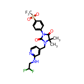 CC1(C)C(=O)N(c2ccc(S(=O)(=O)C(F)(F)F)cc2)C(=O)N1Cc1ccnc(NCC(F)F)c1